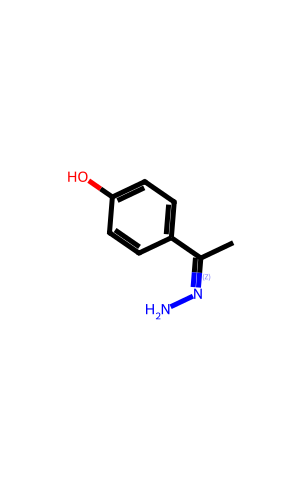 C/C(=N/N)c1ccc(O)cc1